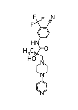 C[C@](O)(CN1CCN(c2ccncc2)CC1)C(=O)Nc1ccc(C#N)c(C(F)(F)F)c1